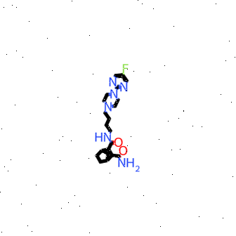 NC(=O)C1C2CCC(C2)C1C(=O)NCCCCN1CCN(c2ncc(F)cn2)CC1